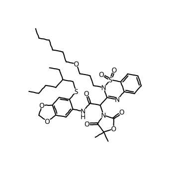 CCCCCCOCCCN1C(C(C(=O)Nc2cc3c(cc2SCC(CC)CCCC)OCO3)N2C(=O)OC(C)(C)C2=O)=Nc2ccccc2S1(=O)=O